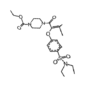 CCOC(=O)N1CCN(C(=O)C(Oc2ccc(S(=O)(=O)N(CC)CC)cc2)=C(C)C)CC1